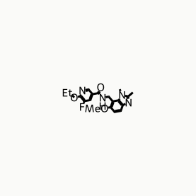 CCOc1ncc(C(=O)NCc2c(OC)ccc3nc(C)n(C)c23)cc1F